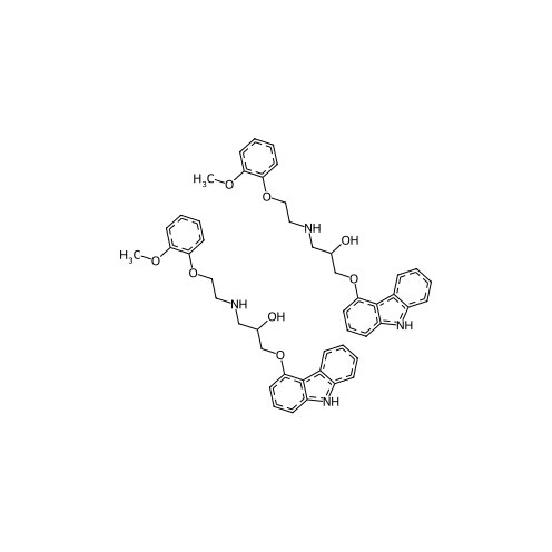 COc1ccccc1OCCNCC(O)COc1cccc2[nH]c3ccccc3c12.COc1ccccc1OCCNCC(O)COc1cccc2[nH]c3ccccc3c12